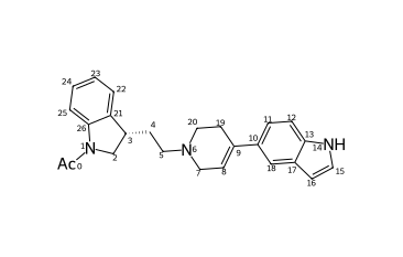 CC(=O)N1C[C@@H](CCN2CC=C(c3ccc4[nH]ccc4c3)CC2)c2ccccc21